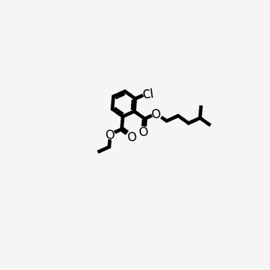 CCOC(=O)c1cccc(Cl)c1C(=O)OCCCC(C)C